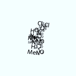 CNC(=O)c1ccc(-n2c(NC(C)c3nc[nH]n3)nc3c(c2=O)CCN(C(=O)c2ccc(Cl)c(Cl)c2)C3)cc1